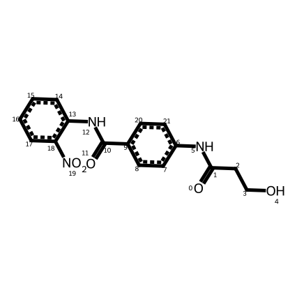 O=C(CCO)Nc1ccc(C(=O)Nc2ccccc2[N+](=O)[O-])cc1